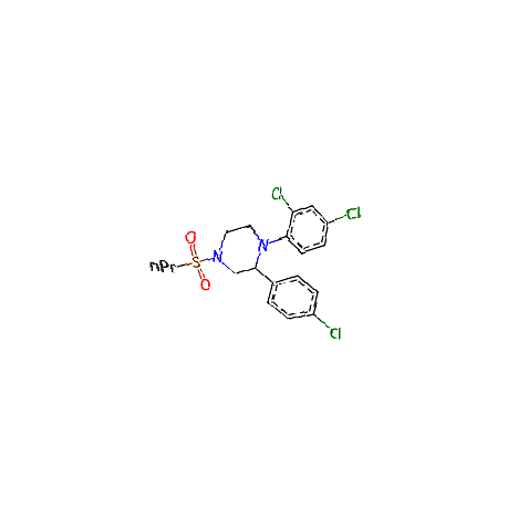 CCCS(=O)(=O)N1CCN(c2ccc(Cl)cc2Cl)C(c2ccc(Cl)cc2)C1